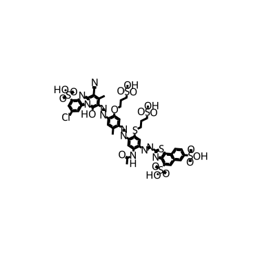 CC(=O)Nc1cc(N=Nc2cc(OCCCS(=O)(=O)O)c(N=Nc3c(C)c(C#N)c4nc5c(S(=O)(=O)O)cc(Cl)cc5n4c3O)cc2C)c(SCCCS(=O)(=O)O)cc1N=Nc1nc2c(S(=O)(=O)O)cc3cc(S(=O)(=O)O)ccc3c2s1